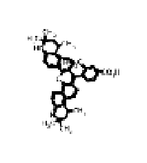 CC1CC(C)(C)N=C2C=CC3C(=C21)C=CC1=C(c2ccc(C(=O)O)cc2C(=O)O)c2ccc4c5c(ccc4c2OC13)NC(C)(C)CC5C